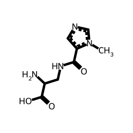 Cn1cncc1C(=O)NCC(N)C(=O)O